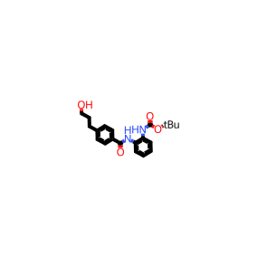 CC(C)(C)OC(=O)Nc1ccccc1NC(=O)c1ccc(CCCO)cc1